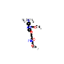 COCCCNC(=O)CCCCCOc1ccc2nc(-c3ccc(N(C)C)cc3)n(CCCOC)c2c1